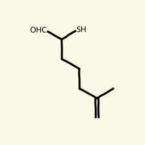 C=C(C)CCCC(S)C=O